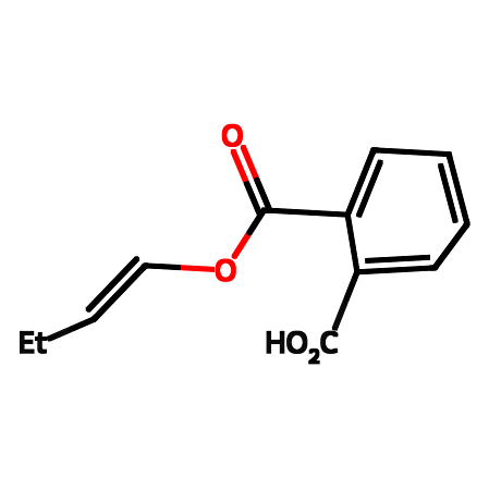 CCC=COC(=O)c1ccccc1C(=O)O